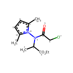 CCOC(=O)C(C)N(C(=O)CCl)n1c(C)ccc1C